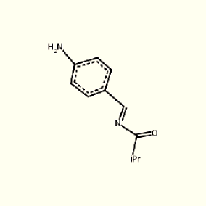 CC(C)C(=O)N=Cc1ccc(N)cc1